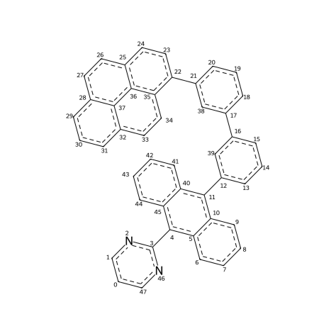 c1cnc(-c2c3ccccc3c(-c3cccc(-c4cccc(-c5ccc6ccc7cccc8ccc5c6c78)c4)c3)c3ccccc23)nc1